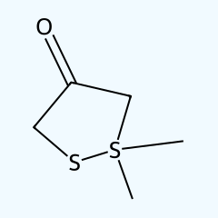 CS1(C)CC(=O)CS1